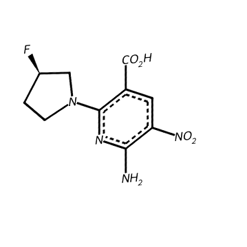 Nc1nc(N2CC[C@@H](F)C2)c(C(=O)O)cc1[N+](=O)[O-]